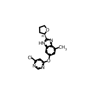 Cc1cc(Oc2cc(Cl)ncn2)cc2[nH]c([C@H]3CCCO3)nc12